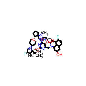 C#Cc1c(F)ccc2cc(O)cc(N3Cc4nc(OC[C@]5(C(C)(C)C#N)C[C@@H](F)CN5C5CCOCC5)nc(NCC5(N(C)C(=O)C=C)CCCC5)c4OC3=O)c12